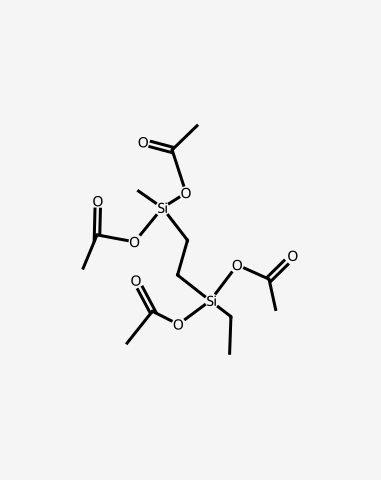 CC[Si](CC[Si](C)(OC(C)=O)OC(C)=O)(OC(C)=O)OC(C)=O